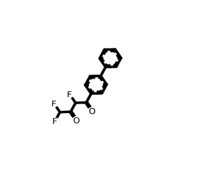 O=C(c1ccc(-c2ccccc2)cc1)C(F)C(=O)C(F)F